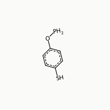 POc1ccc(S)cc1